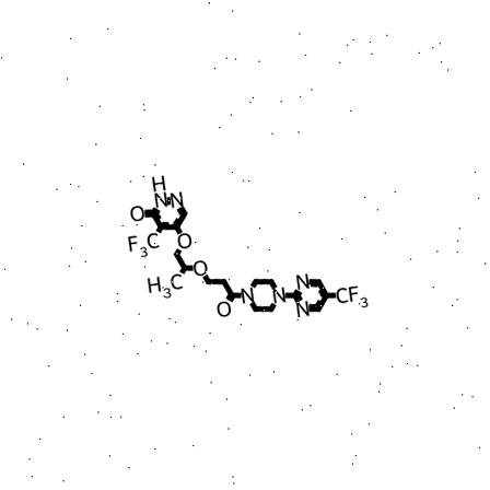 CC(COc1cn[nH]c(=O)c1C(F)(F)F)OCCC(=O)N1CCN(c2ncc(C(F)(F)F)cn2)CC1